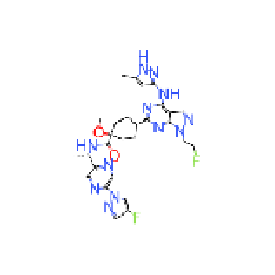 CO[C@]1(C(=O)N[C@@H](C)c2cnc(-n3cc(F)cn3)cn2)CC[C@H](c2nc(Nc3cc(C)[nH]n3)c3cnn(CCF)c3n2)CC1